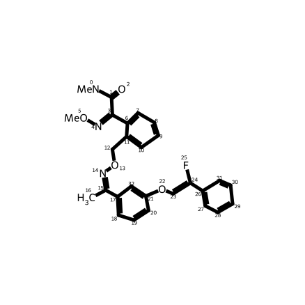 CNC(=O)C(=NOC)c1ccccc1CON=C(C)c1cccc(OC=C(F)c2ccccc2)c1